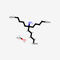 CCCCCCCCCCCCCCC(N)(CCCCCCCCCCCCCC)CCCCCCCCCCCCCC.O=[N+]([O-])O